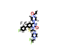 C=CC(=O)N1C[C@H](C)N(c2nc(=O)n3c4c(c(-c5ccc(F)cc5)c(C(F)(F)F)cc24)SC[C@@H]3CN2CCN(CC(F)F)CC2)C[C@H]1C